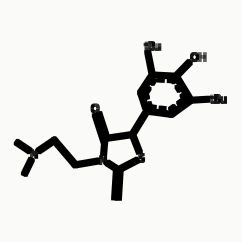 C=C1SC(c2cc(C(C)(C)C)c(O)c(C(C)(C)C)c2)C(=O)N1CCN(C)C